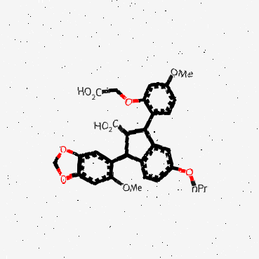 CCCOc1ccc2c(c1)C(c1ccc(OC)cc1OCC(=O)O)C(C(=O)O)C2c1cc2c(cc1OC)OCO2